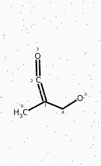 CC(=C=O)C[O]